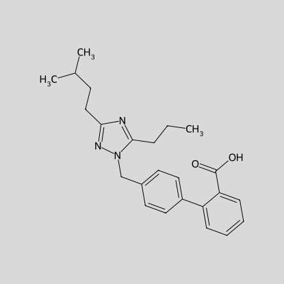 CCCc1nc(CCC(C)C)nn1Cc1ccc(-c2ccccc2C(=O)O)cc1